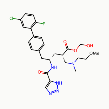 COCCN(C)C[C@H](C[C@@H](Cc1ccc(-c2cc(Cl)ccc2F)cc1)NC(=O)c1cnn[nH]1)C(=O)OCO